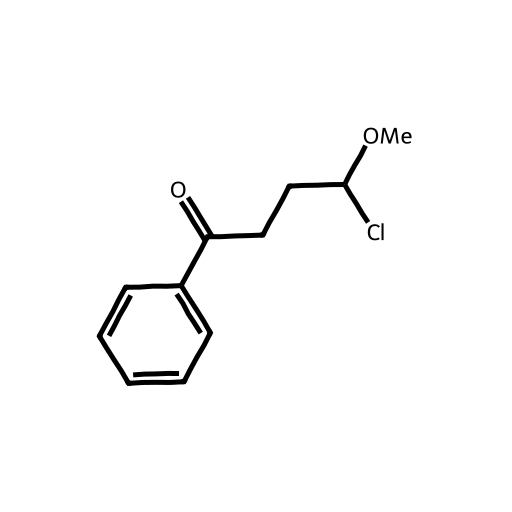 COC(Cl)CCC(=O)c1ccccc1